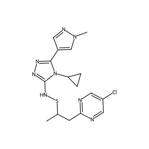 CC(Cc1ncc(Cl)cn1)SNc1nnc(-c2cnn(C)c2)n1C1CC1